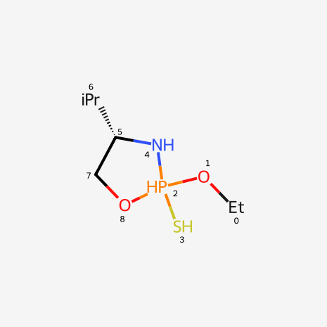 CCO[PH]1(S)N[C@@H](C(C)C)CO1